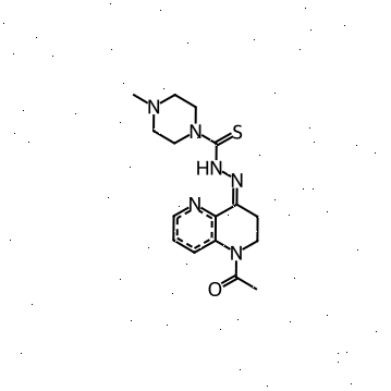 CC(=O)N1CC/C(=N/NC(=S)N2CCN(C)CC2)c2ncccc21